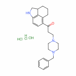 Cl.Cl.Cl.O=C(CCN1CCN(Cc2ccccc2)CC1)c1ccc2c3c1CCCC3CN2